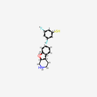 Fc1cc(F)cc(S)c1.c1ccc2c3c(oc2c1)CNCC3